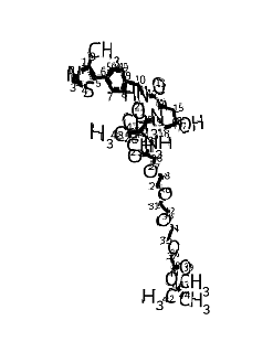 Cc1ncsc1-c1ccc(CNC(=O)[C@@H]2C[C@@H](O)CN2C(=O)[C@@H](NC(=O)COCCOCCOCCOCC(=O)OC(C)(C)C)C(C)(C)C)cc1